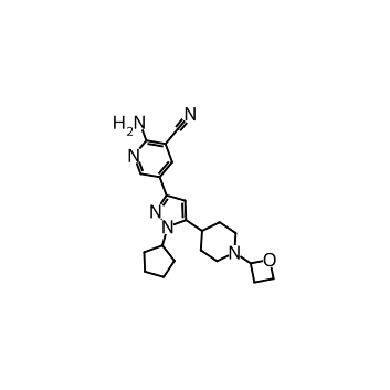 N#Cc1cc(-c2cc(C3CCN(C4CCO4)CC3)n(C3CCCC3)n2)cnc1N